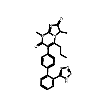 CCCC1=C(c2ccc(-c3ccccc3-c3nnn[nH]3)cc2)C(=O)N(C)C2=NC(=O)C(C)N21